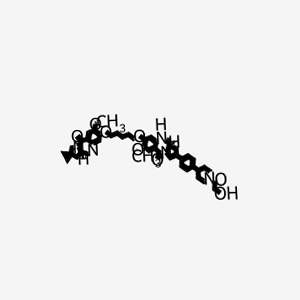 COc1cc2c(cc1OCCCCCOc1cc3c(cc1OC)C(=O)N1C=C(c4ccc(C5CCN(C(=O)CO)CC5)cc4)C[C@H]1CN3)N=C[C@@H]1CC3(CC3)CN1C2=O